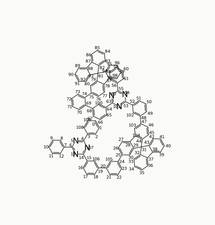 c1ccc(-c2nc(-c3ccccc3)nc(-c3cccc(-c4cccc(-c5ccc6c(c5)C5(c7ccccc7-c7ccccc75)c5ccc(-c7cccc(-c8nc(-c9ccccc9)nc(-c9cccc(-c%10ccccc%10-c%10ccc%11c(c%10)C%10(c%12ccccc%12-c%12ccccc%12%10)c%10ccccc%10-%11)c9)n8)c7)cc5-6)c4)c3)n2)cc1